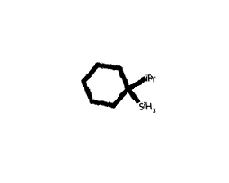 CC(C)C1([SiH3])CCCCC1